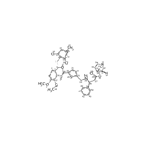 COc1ccc([C@H](Cc2c(Cl)c[n+](C)cc2Cl)OC(=O)c2ccc(CNC(CC(=O)O[C@H]3CN4CCC3CC4)c3ccccc3)s2)cc1OC